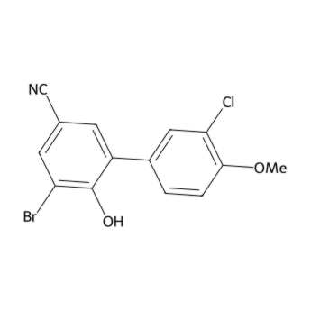 COc1ccc(-c2cc(C#N)cc(Br)c2O)cc1Cl